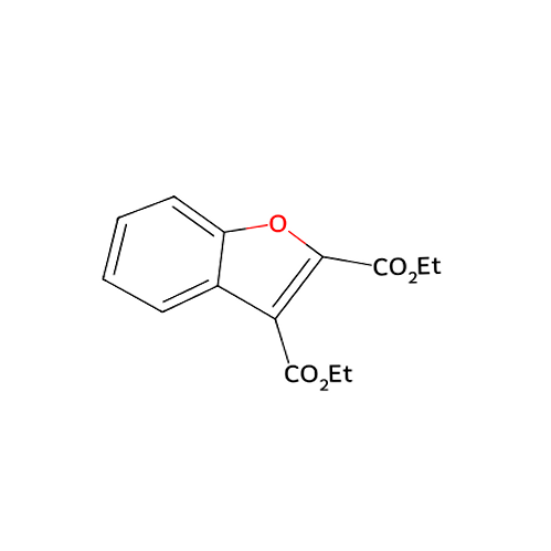 CCOC(=O)c1oc2ccccc2c1C(=O)OCC